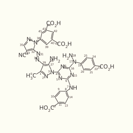 Cc1nn(-c2nc(Nc3ccc(C(=O)O)cc3)nc(N(N)c3ccc(C(=O)O)cc3)n2)c(N)c1N=Nc1c(C#N)cnn1-c1cc(C(=O)O)cc(C(=O)O)c1